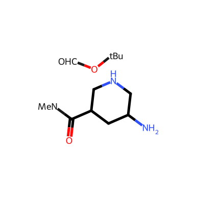 CC(C)(C)OC=O.CNC(=O)C1CNCC(N)C1